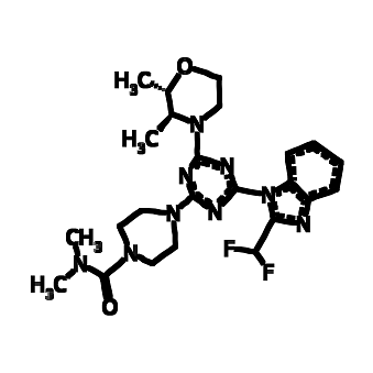 C[C@@H]1OCCN(c2nc(N3CCN(C(=O)N(C)C)CC3)nc(-n3c(C(F)F)nc4ccccc43)n2)[C@H]1C